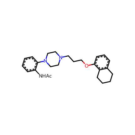 CC(=O)Nc1ccccc1N1CCN(CCCOc2cccc3c2CCCC3)CC1